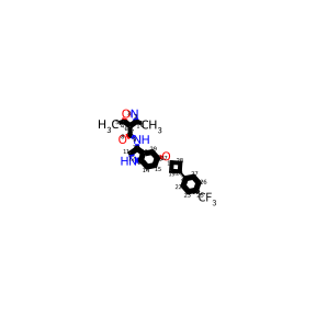 Cc1noc(C)c1C(=O)Nc1c[nH]c2ccc(O[C@H]3C[C@H](c4ccc(C(F)(F)F)cc4)C3)cc12